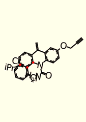 C#CCOc1ccc(N(Cc2c(Cl)cccc2Cl)C(N)=O)c(C(=C)c2ccc(C(C)C)cc2)c1